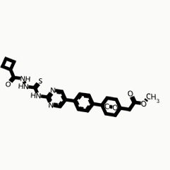 COC(=O)CC12CCC(c3ccc(-c4cnc(NC(=S)NNC(=O)C5CCC5)nc4)cc3)(CC1)CO2